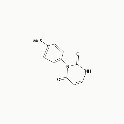 CSc1ccc(-n2c(=O)cc[nH]c2=O)cc1